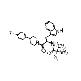 CC(C)(N)C(=O)NC(Cc1c[nH]c2ccccc12)C(=O)N1CCC(c2ccc(F)cc2)CC1